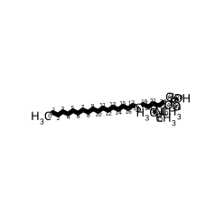 CCCCCCCCCCCCCCCCCCSCCCC(COP(=O)([O-])O)[N+](C)(C)C